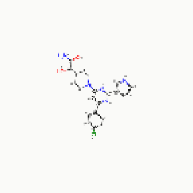 NC(=O)C(O)C1CCN(c2cc(-c3ccc(Cl)cc3)nc(-c3cccnc3)n2)CC1